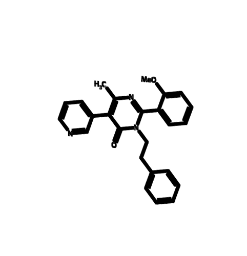 COc1ccccc1-c1nc(C)c(-c2cccnc2)c(=O)n1CCc1ccccc1